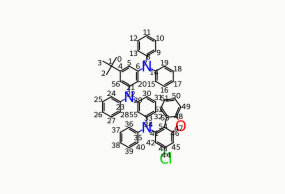 CC(C)(C)c1cc(N(c2ccccc2)c2ccccc2)cc(N(c2ccccc2)c2cccc(N(c3ccccc3)c3cc(Cl)cc4oc5ccccc5c34)c2)c1